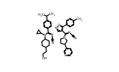 CC(C)c1ccc(/C(=N/C#N)N(C2CCC(CCO)CC2)C2CC2)cc1.Cc1ccc(-c2oncc2/C(=N/C#N)N2CCC(c3cccnc3)C2)cc1